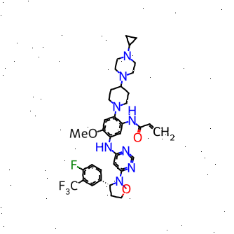 C=CC(=O)Nc1cc(Nc2cc(N3OCC[C@@H]3c3ccc(F)c(C(F)(F)F)c3)ncn2)c(OC)cc1N1CCC(N2CCN(C3CC3)CC2)CC1